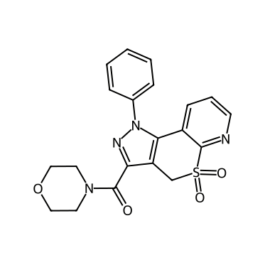 O=C(c1nn(-c2ccccc2)c2c1CS(=O)(=O)c1ncccc1-2)N1CCOCC1